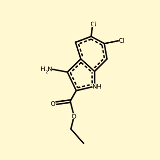 CCOC(=O)c1[nH]c2cc(Cl)c(Cl)cc2c1N